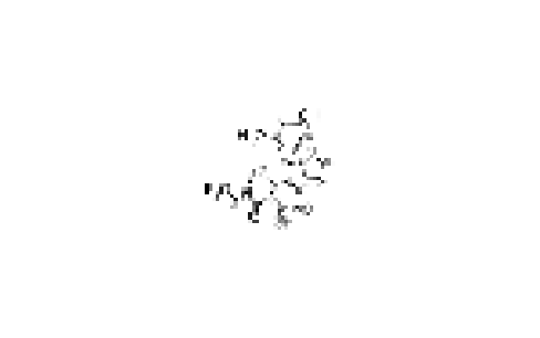 Cc1cc(C)cc(C2(Cc3nc(=O)c(O)c4n3CCN(CC(F)(F)F)C4=O)CCCC2)c1